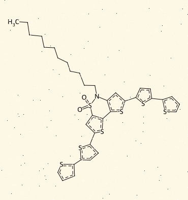 CCCCCCCCCCCCN1c2cc(-c3ccc(-c4cccs4)s3)sc2-c2sc(-c3ccc(-c4cccs4)s3)cc2S1(=O)=O